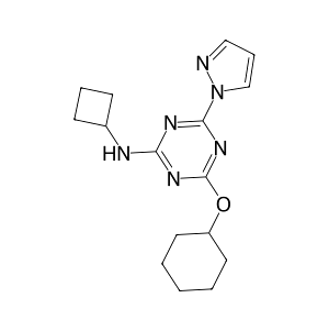 c1cnn(-c2nc(NC3CCC3)nc(OC3CCCCC3)n2)c1